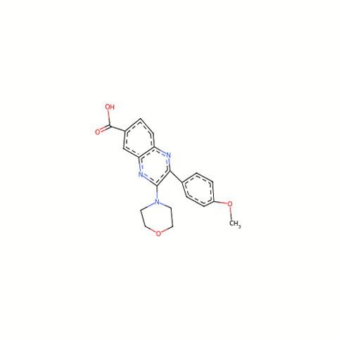 COc1ccc(-c2nc3ccc(C(=O)O)cc3nc2N2CCOCC2)cc1